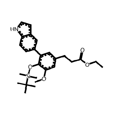 CCOC(=O)CCc1cc(OC)c(O[Si](C)(C)C(C)(C)C)c(-c2ccc3[nH]ccc3c2)c1